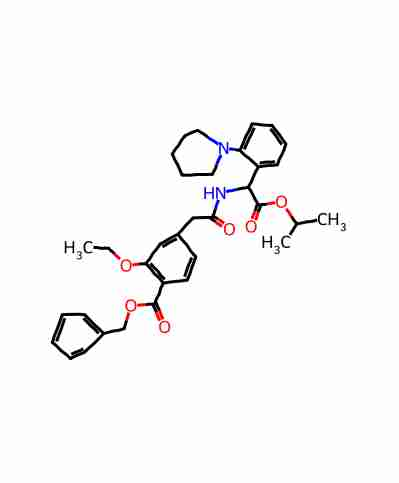 CCOc1cc(CC(=O)NC(C(=O)OC(C)C)c2ccccc2N2CCCCC2)ccc1C(=O)OCc1ccccc1